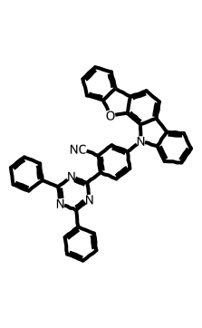 N#Cc1cc(-n2c3ccccc3c3ccc4c5ccccc5oc4c32)ccc1-c1nc(-c2ccccc2)nc(-c2ccccc2)n1